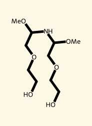 COC(COCCO)NC(COCCO)OC